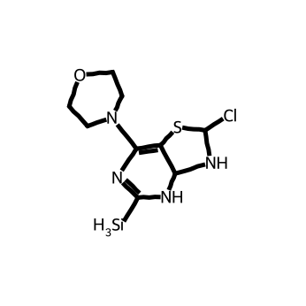 [SiH3]C1=NC(N2CCOCC2)=C2SC(Cl)NC2N1